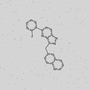 Fc1ccccc1-c1ccc2nnc(Cc3ccc4ncccc4c3)n2n1